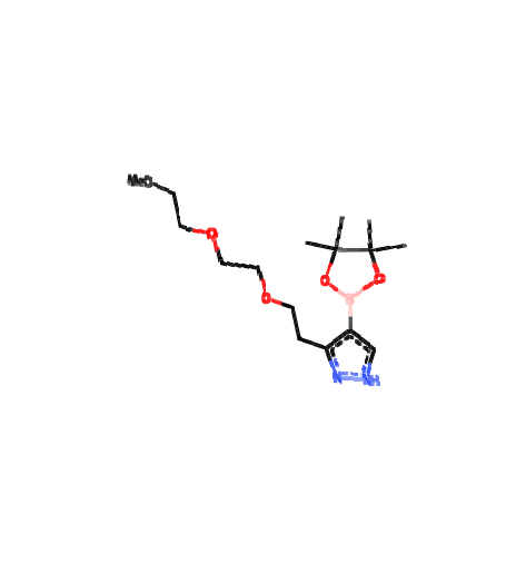 COCCOCCOCCc1n[nH]cc1B1OC(C)(C)C(C)(C)O1